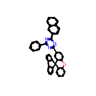 c1ccc(-c2nc(-c3ccc4c(c3)C3(c5ccccc5O4)c4ccccc4-c4ccccc43)nc(-c3ccc4ccccc4c3)n2)cc1